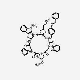 O=C1N[C@H](CCCCNI)C(=O)N[C@H](Cc2ccc(OCc3ccccc3)cc2)C(=O)N[C@H](Cc2ccccc2)C(=O)N2CC(OP)C[C@H]2C(=O)N[C@H](c2ccccc2)C(=O)NC1Cc1cn(P)c2ccccc12